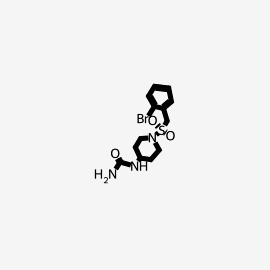 NC(=O)NC1CCN(S(=O)(=O)Cc2ccccc2Br)CC1